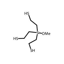 CO[Si](CCS)(CCS)CCS